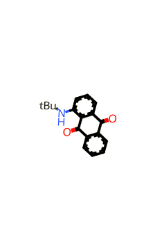 [CH2]C(C)(C)Nc1cccc2c1C(=O)c1ccccc1C2=O